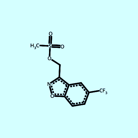 CS(=O)(=O)OCc1noc2ccc(C(F)(F)F)cc12